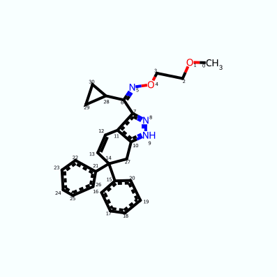 COCCO/N=C(\c1n[nH]c2c1C=CC(c1ccccc1)(c1ccccc1)C2)C1CC1